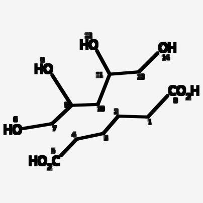 O=C(O)CCCCC(=O)O.OCC(O)CC(O)CO